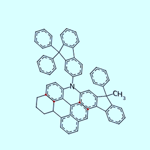 CC1(c2ccccc2)c2ccccc2-c2ccc(N(c3ccc4c(c3)C(c3ccccc3)(c3ccccc3)c3ccccc3-4)c3ccccc3-c3cccc4cccc(C5CCCCC5)c34)cc21